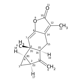 C=C1[C@H]2C[C@H]2[C@]2(C)C=C3OC(=O)C(C)=C3C[C@@H]12